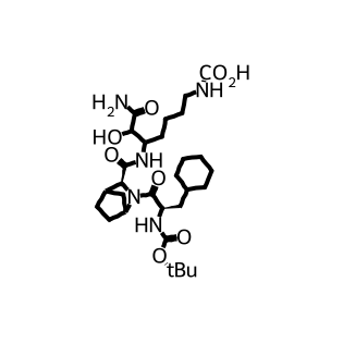 CC(C)(C)OC(=O)N[C@H](CC1CCCCC1)C(=O)N1C2CCC(C2)[C@H]1C(=O)NC(CCCCNC(=O)O)C(O)C(N)=O